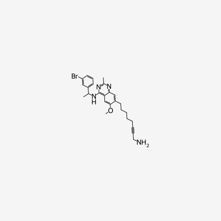 COc1cc2c(NC(C)c3cccc(Br)c3)nc(C)nc2cc1CCCCCC#CCN